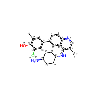 CC(=O)c1cnc2ccc(-c3cc(C)c(O)c(Cl)c3)cc2c1N[C@H]1CC[C@H](N)CC1